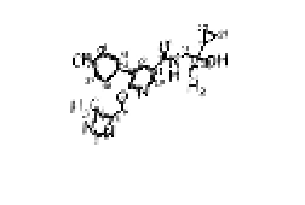 Cn1ncnc1COc1ncc(C(=O)NC[C@@](C)(O)C2CC2)cc1-c1ccc(Cl)cc1